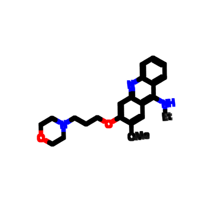 CCNc1c2ccccc2nc2cc(OCCCN3CCOCC3)c(OC)cc12